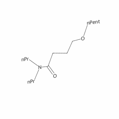 CCCCCOCCCC(=O)N(CCC)CCC